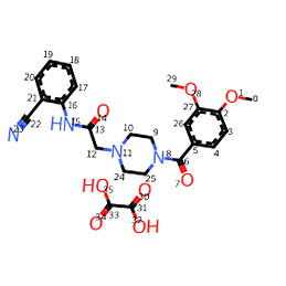 COc1ccc(C(=O)N2CCN(CC(=O)Nc3ccccc3C#N)CC2)cc1OC.O=C(O)C(=O)O